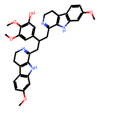 COc1ccc2c3c([nH]c2c1)C(CC(CC1=NCCc2c1[nH]c1cc(OC)ccc21)c1cc(O)c(OC)c(OC)c1)=NCC3